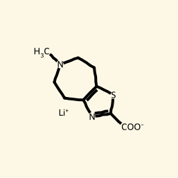 CN1CCc2nc(C(=O)[O-])sc2CC1.[Li+]